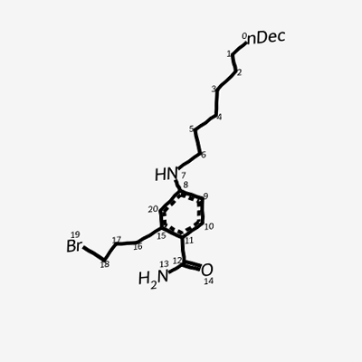 CCCCCCCCCCCCCCCCNc1ccc(C(N)=O)c(CCCBr)c1